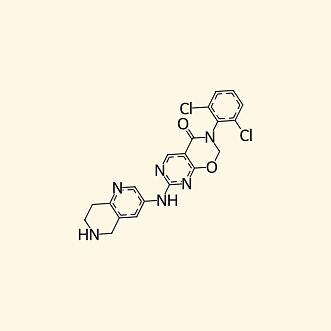 O=C1c2cnc(Nc3cnc4c(c3)CNCC4)nc2OCN1c1c(Cl)cccc1Cl